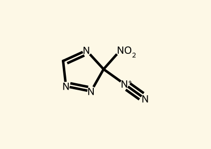 N#[N+]C1([N+](=O)[O-])N=CN=N1